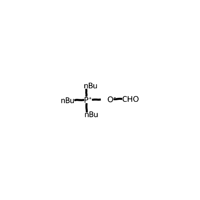 CCCC[P+](C)(CCCC)CCCC.O=C[O-]